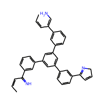 C/C=C\C(=N)c1cccc(-c2cc(-c3cccc(C4=NCC=C4)c3)cc(-c3cccc(C(/C=C\C)=C/N)c3)c2)c1